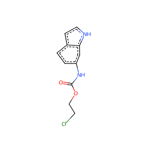 O=C(Nc1ccc2cc[nH]c2c1)OCCCl